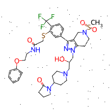 CS(=O)(=O)N1CCc2c(c(-c3ccc(C(F)(F)F)c(SCC(=O)NCCOc4ccccc4)c3)nn2CC(O)CN2CCC(N3CCCC3=O)CC2)C1